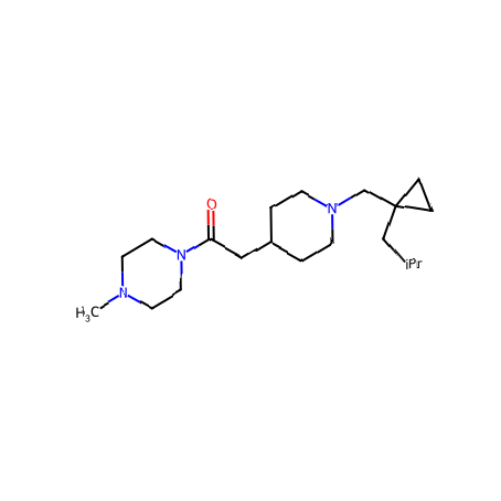 CC(C)CC1(CN2CCC(CC(=O)N3CCN(C)CC3)CC2)CC1